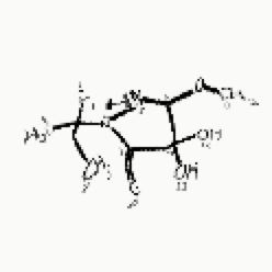 COC1NN(C(C)(C)C)C(=O)C1(O)O